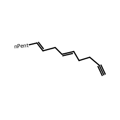 C#CCCC=CCC=CCCCCC